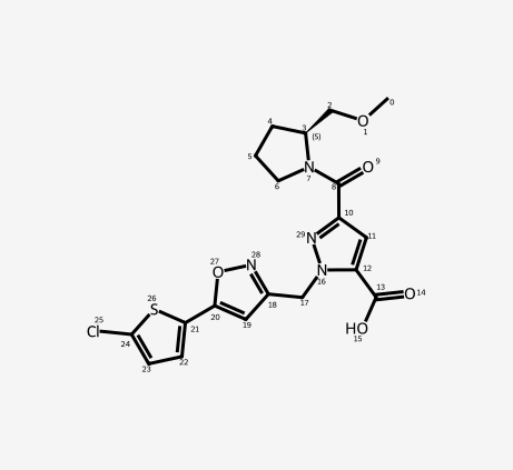 COC[C@@H]1CCCN1C(=O)c1cc(C(=O)O)n(Cc2cc(-c3ccc(Cl)s3)on2)n1